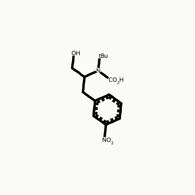 CC(C)(C)N(C(=O)O)C(CO)Cc1cccc([N+](=O)[O-])c1